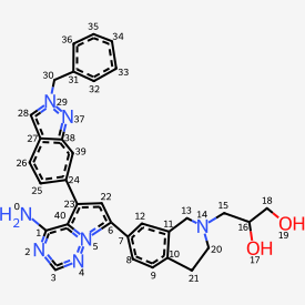 Nc1ncnn2c(-c3ccc4c(c3)CN(CC(O)CO)CC4)cc(-c3ccc4cn(Cc5ccccc5)nc4c3)c12